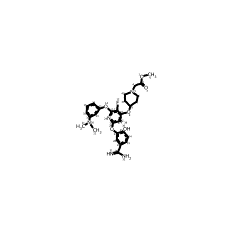 COC(=O)CN1CCC(Oc2c(F)c(Oc3cccc(N(C)C)c3)nc(Oc3cc(C(=N)N)ccc3O)c2F)CC1